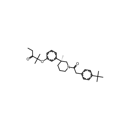 CCC(=O)C(C)(C)Oc1cccc([C@]2(C)CCCN(C(=O)Cc3ccc(C(C)(C)C)cc3)C2)c1